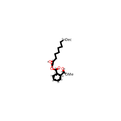 CCCCCCCCCCCCCCCCC1OC1OC(=O)c1ccccc1C(=O)OC